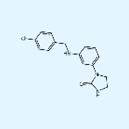 O=C1NCCN1c1cccc(NCc2ccc(Cl)cc2)c1